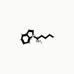 CCCCC(N)n1ccc2ccccc21